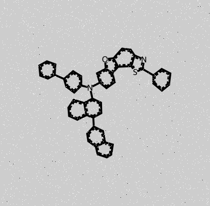 c1ccc(-c2ccc(N(c3ccc4c(c3)oc3ccc5nc(-c6ccccc6)sc5c34)c3ccc(-c4ccc5ccccc5c4)c4ccccc34)cc2)cc1